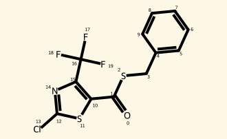 O=C(SCc1ccccc1)c1sc(Cl)nc1C(F)(F)F